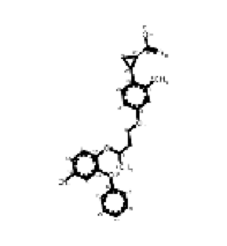 Cc1cc(OCCC(C)Oc2ccc(Cl)cc2Oc2ccccc2)ccc1C1C[C@H]1C(=O)O